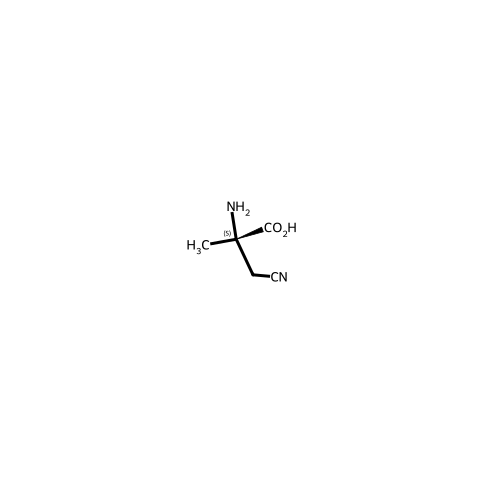 C[C@](N)(CC#N)C(=O)O